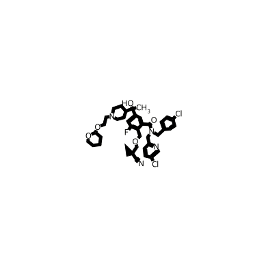 CC(O)(c1cc(F)c(COCC2(C#N)CC2)c(C(=O)N(Cc2ccc(Cl)cc2)Cc2ccc(Cl)cn2)c1)C1CCN(CCOC2CCCCO2)CC1